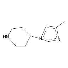 Cc1cn(C2CCNCC2)cn1